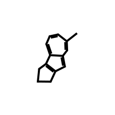 Cc1cccc2c3c(cc-2c1)CCC3